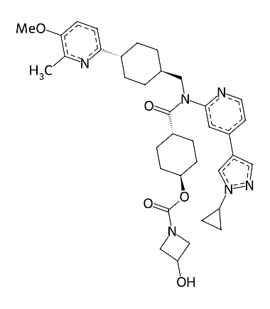 COc1ccc([C@H]2CC[C@H](CN(c3cc(-c4cnn(C5CC5)c4)ccn3)C(=O)[C@H]3CC[C@H](OC(=O)N4CC(O)C4)CC3)CC2)nc1C